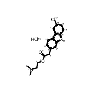 CN(C)CCOC(=O)Cc1ccc2c(c1)sc1ccc(Cl)cc12.Cl